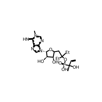 C=CC(C)(O)P(=O)(O)OC(CC)(CC)CC1O[C@@H](n2cnc3c(=N)n(C)cnc32)[C@H](O)[C@@H]1O